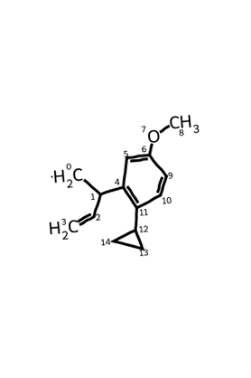 [CH2]C(C=C)c1cc(OC)ccc1C1CC1